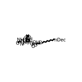 CCCCCCCCCCCCCCCCCCOCCOP(=O)(O)OC[C@H]1O[C@@H](n2cnc(C(N)=O)n2)[C@@H]2OC(C)(C)O[C@@H]21